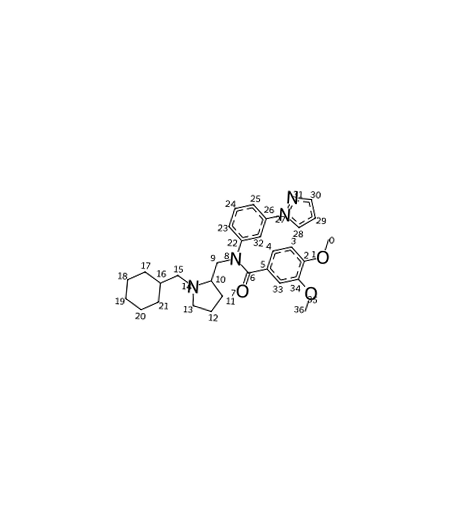 COc1ccc(C(=O)N(CC2CCCN2CC2CCCCC2)c2cccc(-n3cccn3)c2)cc1OC